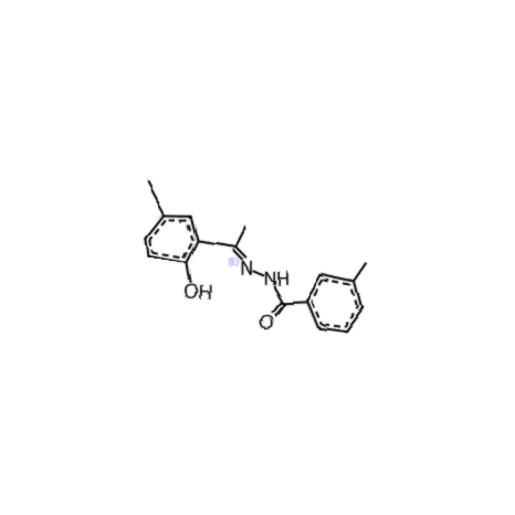 C/C(=N\NC(=O)c1cccc(C)c1)c1cc(C)ccc1O